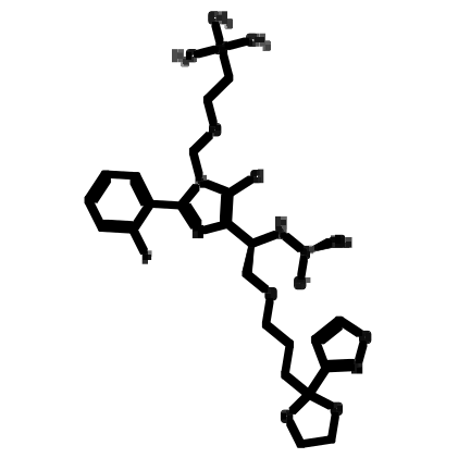 CC(C)(C)[S@@+]([O-])N[C@@H](COCCCC1(c2ccon2)OCCO1)c1nc(-c2ccccc2F)n(COCC[Si](C)(C)C)c1Cl